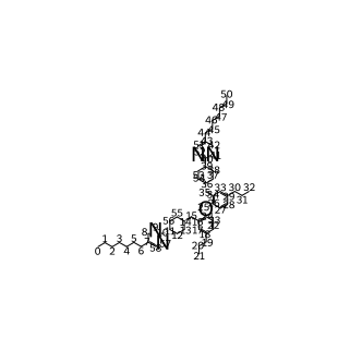 CCCCCCCc1cnc([C@H]2CC[C@H](Cc3cc(CCC)ccc3Oc3ccc(CCC)cc3C[C@H]3CC[C@H](c4ncc(CCCCCCC)cn4)CC3)CC2)nc1